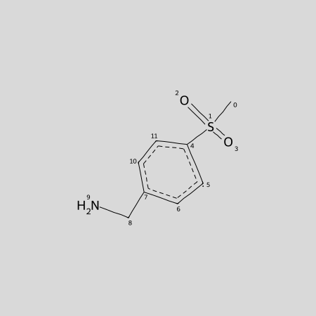 CS(=O)(=O)c1[c]cc(CN)cc1